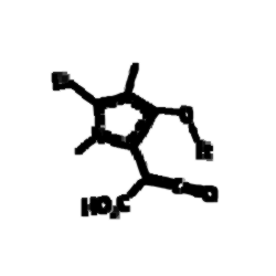 CCOc1c(C)c(CC)n(C)c1C(=C=O)C(=O)O